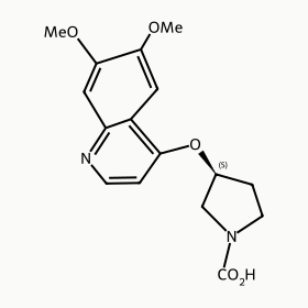 COc1cc2nccc(O[C@H]3CCN(C(=O)O)C3)c2cc1OC